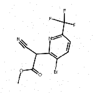 COC(=O)C(C#N)c1nc(C(F)(F)F)ccc1Br